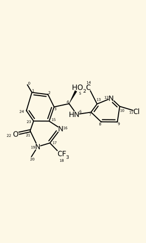 Cc1cc([C@@H](C)Nc2ccc(Cl)nc2C(=O)O)c2nc(C(F)(F)F)n(C)c(=O)c2c1